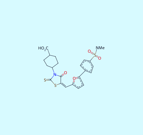 CNS(=O)(=O)c1ccc(-c2ccc(C=C3SC(=S)N(C4CCC(C(=O)O)CC4)C3=O)o2)cc1